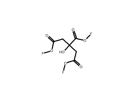 O=C(CC(O)(CC(=O)OF)C(=O)OF)OF